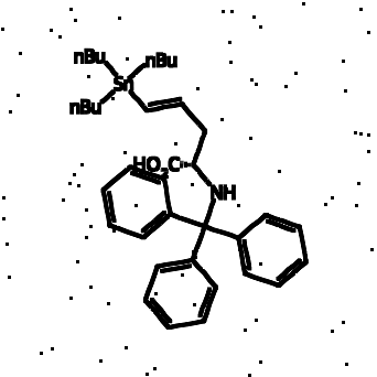 CCC[CH2][Sn](/[CH]=C/C[C@H](NC(c1ccccc1)(c1ccccc1)c1ccccc1)C(=O)O)([CH2]CCC)[CH2]CCC